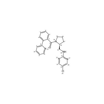 O=C(c1ccccc1-c1ccccn1)N1CCC[C@H]1CNc1ncc(Cl)cn1